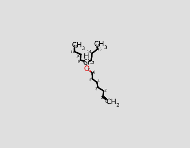 C=CCCCCCO[SiH](CCCC)CCCC